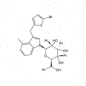 CC(=O)C(O)[C@H]1O[C@@H](n2cc(Cc3ccc(Br)s3)c3c(C)cccc32)[C@@](O)(C(C)=O)[C@](O)(C(C)=O)[C@@]1(O)C(C)=O